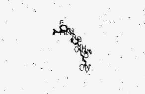 CC(C)Cc1cc(F)cc2nc(Cn3cccc(NC(=O)C(CCC=CC(=O)N(C)C)OC(=O)N(C)C)c3=O)[nH]c12